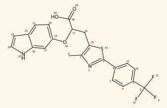 Cc1nc(-c2ccc(C(F)(F)F)cc2)sc1CC(Oc1ccc2cc[nH]c2c1)C(=O)O